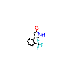 O=C1CC(c2ccccc2C(F)(F)F)CN1